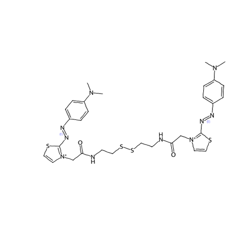 CN(C)c1ccc(/N=N/c2scc[n+]2CC(=O)NCCSSCCNC(=O)C[n+]2ccsc2/N=N/c2ccc(N(C)C)cc2)cc1